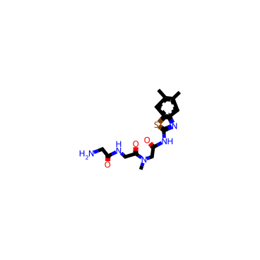 Cc1cc2nc(NC(=O)CN(C)C(=O)CNC(=O)CN)sc2cc1C